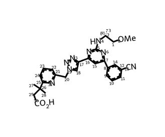 COC[C@@H](C)Nc1nc(-c2cccc(C#N)c2)cc(-c2cn(Cc3cccc(C(C)(C)CC(=O)O)n3)nn2)n1